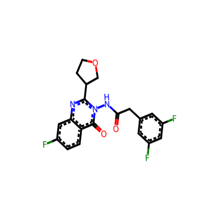 O=C(Cc1cc(F)cc(F)c1)Nn1c(C2CCOC2)nc2cc(F)ccc2c1=O